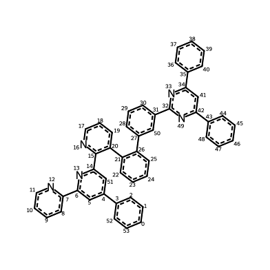 c1ccc(-c2cc(-c3ccccn3)nc(-c3ncccc3-c3ccccc3-c3cccc(-c4nc(-c5ccccc5)cc(-c5ccccc5)n4)c3)c2)cc1